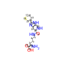 N[C@@H](CCCCNC(=O)[C@@H]1Cc2nc(C3CCCSC3)[nH]c2CN1)C(=O)O